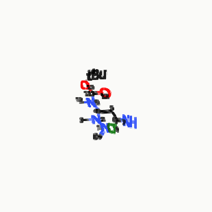 C=NN(C)/C(=C\C(=N)Cl)N(C)C(=O)OC(C)(C)C